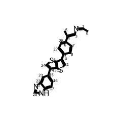 C/C=N\C=C(/C)c1ccc(-c2csc3c(-c4ccc5[nH]cnc5c4)csc23)cc1